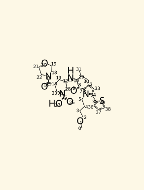 COCCCCn1c(C(=O)C(N[C@H]2C[C@@H](C(=O)N3CCOCC3)CN(C(=O)O)C2)C(C)C)ccc1-c1cccs1